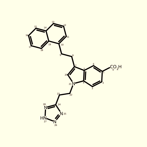 O=C(O)c1ccc2c(c1)c(CCc1cccc3ccccc13)cn2CCc1nn[nH]n1